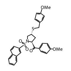 COc1ccc(CS[C@@H]2C[C@@H](C(=O)c3ccc(OC)cc3)N(S(=O)(=O)c3ccc4ccccc4c3)C2)cc1